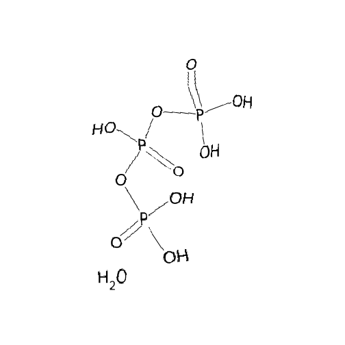 O.O=P(O)(O)OP(=O)(O)OP(=O)(O)O